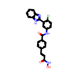 O=C(/C=C/c1ccc(C(=O)Nc2ccc(Cl)c(-c3nc4ccccc4[nH]3)c2)cc1)NO